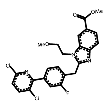 COCCn1c(Cc2ccc(-c3nc(Cl)ccc3Cl)cc2F)nc2ccc(C(=O)OC)cc21